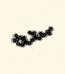 c1ccc(-c2ccc(-c3cccc(-c4cccc(-c5nc(-c6cccc(-c7ccc(-c8nc(-c9cccc(-c%10cc%11ccc(-c%12ccc(-c%13ccccc%13)c%13ccccc%12%13)cc%11c%11ccccc%10%11)c9)nc(-c9cccc%10c9sc9ccccc9%10)n8)cc7)c6)nc(-c6cccc7c6sc6ccccc67)n5)c4)c3)c3ccccc23)cc1